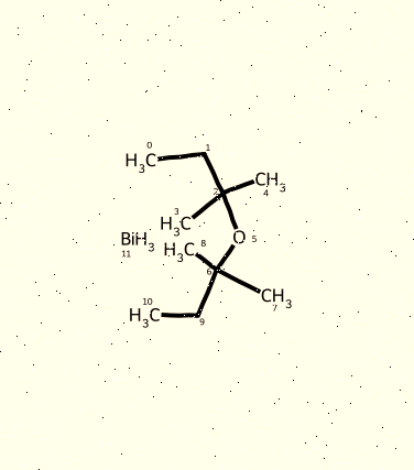 CCC(C)(C)OC(C)(C)CC.[BiH3]